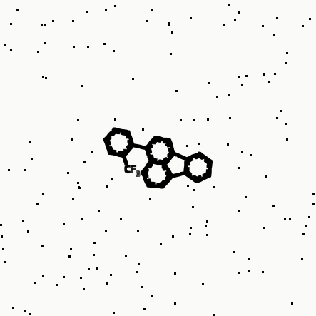 FC(F)(F)c1ccccc1-c1ccc2c3c(cccc13)-c1ccccc1-2